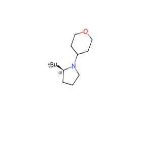 CC(C)(C)[C@@H]1CCCN1C1CCOCC1